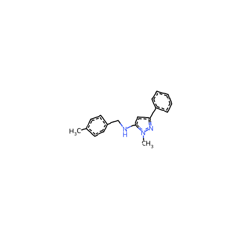 Cc1ccc(CNc2cc(-c3ccccc3)nn2C)cc1